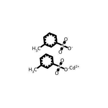 Cc1cccc(S(=O)(=O)[O-])c1.Cc1cccc(S(=O)(=O)[O-])c1.[Cd+2]